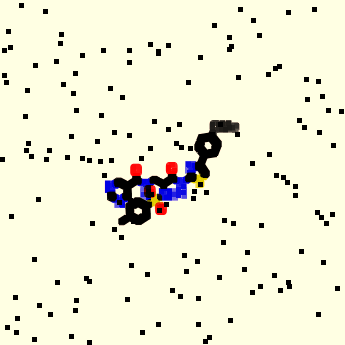 COc1ccc(-c2csc(NC(=O)C(CNC(=O)c3cncnc3)NS(=O)(=O)c3ccc(C)cc3)n2)cc1